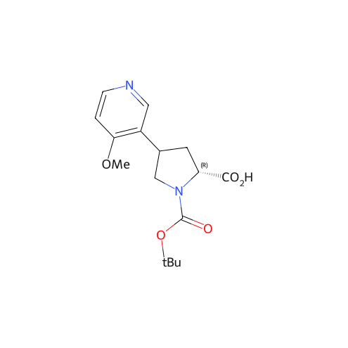 COc1ccncc1C1C[C@H](C(=O)O)N(C(=O)OC(C)(C)C)C1